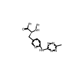 Cc1nnc(Nc2ccc(C[C@H](NC(C)C)C(=O)C(C)C)cn2)nn1